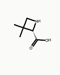 CC1(C)CN[C@@H]1C(=O)O